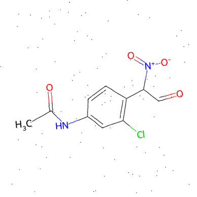 CC(=O)Nc1ccc(C(C=O)[N+](=O)[O-])c(Cl)c1